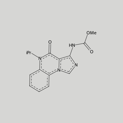 COC(=O)Nc1ncn2c1c(=O)n(C(C)C)c1ccccc12